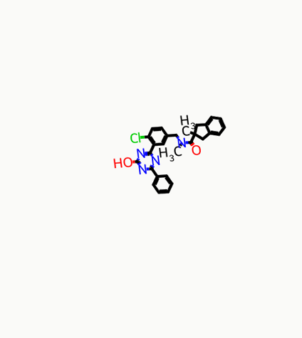 CN(Cc1ccc(Cl)c(-c2nc(O)nc(-c3ccccc3)n2)c1)C(=O)C1(C)Cc2ccccc2C1